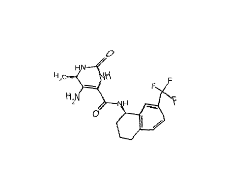 C=C1NC(=O)NC(C(=O)N[C@@H]2CCCc3ccc(C(F)(F)F)cc32)=C1N